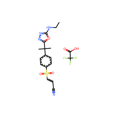 CCNc1nnc(C(C)(C)c2ccc(S(=O)(=O)C=CC#N)cc2)o1.O=C(O)C(F)(F)F